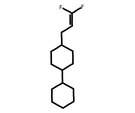 FC(F)=CCC1CCC(C2CCCCC2)CC1